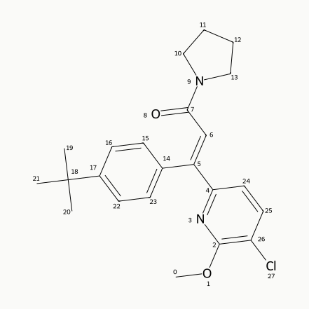 COc1nc(C(=CC(=O)N2CCCC2)c2ccc(C(C)(C)C)cc2)ccc1Cl